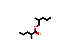 CCCC(C)COC(=O)C(C)CCC